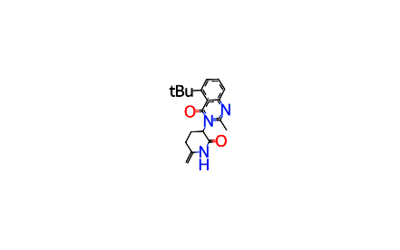 C=C1CCC(n2c(C)nc3cccc(C(C)(C)C)c3c2=O)C(=O)N1